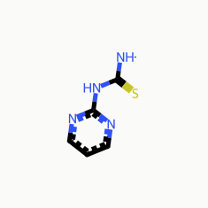 [NH]C(=S)Nc1ncccn1